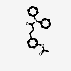 CC(=O)Oc1cccc(CCC(=O)N(c2ccccc2)c2ccccc2)c1